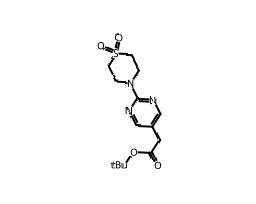 CC(C)(C)OC(=O)Cc1cnc(N2CCS(=O)(=O)CC2)nc1